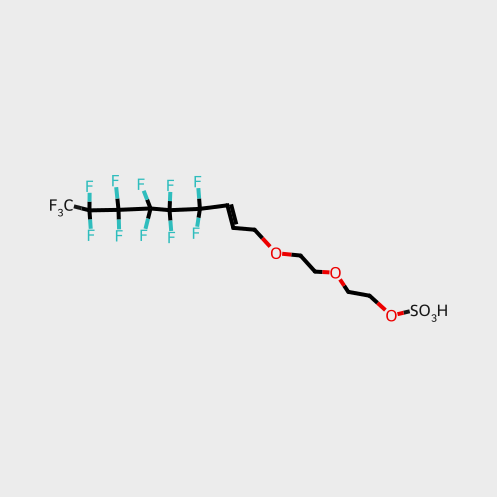 O=S(=O)(O)OCCOCCOCC=CC(F)(F)C(F)(F)C(F)(F)C(F)(F)C(F)(F)C(F)(F)F